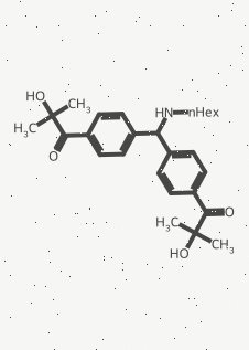 CCCCCCNC(c1ccc(C(=O)C(C)(C)O)cc1)c1ccc(C(=O)C(C)(C)O)cc1